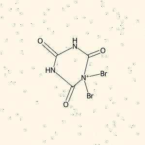 O=C1NC(=O)[N+](Br)(Br)C(=O)N1